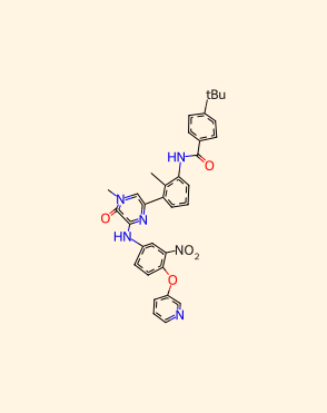 Cc1c(NC(=O)c2ccc(C(C)(C)C)cc2)cccc1-c1cn(C)c(=O)c(Nc2ccc(Oc3cccnc3)c([N+](=O)[O-])c2)n1